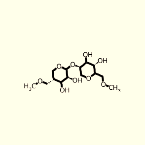 COCC1OC[C@@H](OC2OC[C@@H](COC)C(O)[C@@H]2O)C(O)[C@@H]1O